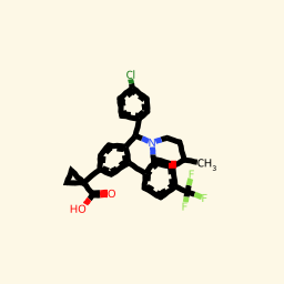 CC1CCN(C(c2ccc(Cl)cc2)c2ccc(C3(C(=O)O)CC3)cc2-c2ccc(C(F)(F)F)cc2)CC1